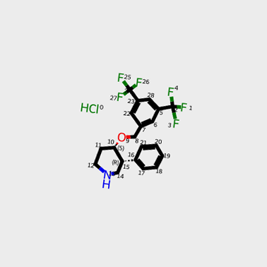 Cl.FC(F)(F)c1cc(CO[C@H]2CCNC[C@H]2c2ccccc2)cc(C(F)(F)F)c1